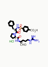 Cl.N=C(N)NCCC[C@@H](C=O)NC(=O)[C@@H]1CCCN1C(=O)[C@@H](Cc1ccccc1)NS(=O)(=O)c1ccc(C(=O)O)cc1